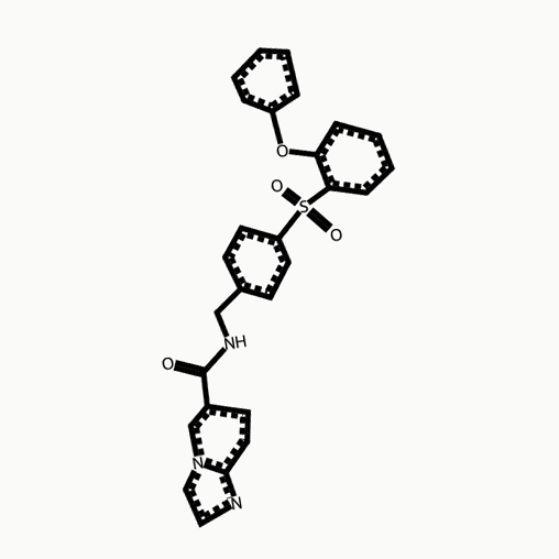 O=C(NCc1ccc(S(=O)(=O)c2ccccc2Oc2ccccc2)cc1)c1ccc2nccn2c1